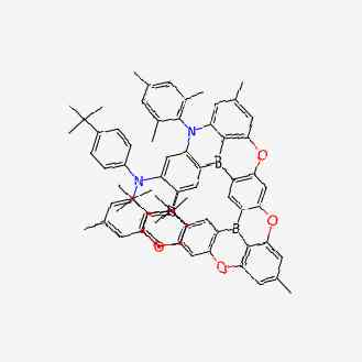 Cc1cc(C)c(N2c3cc4c(cc3B3c5cc6c(cc5Oc5cc(C)cc2c53)Oc2cc(C)cc3c2B6c2cc(C(C)(C)C)ccc2O3)B2c3cc(C(C)(C)C)ccc3Oc3cc(C)cc(c32)N4c2ccc(C(C)(C)C)cc2)c(C)c1